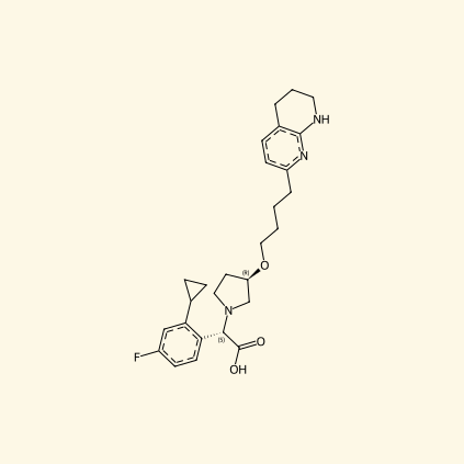 O=C(O)[C@H](c1ccc(F)cc1C1CC1)N1CC[C@@H](OCCCCc2ccc3c(n2)NCCC3)C1